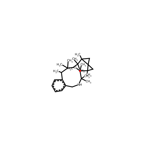 CC1c2ccccc2CNC(C)(C)C(C)(C2(C)CC23CC3(C)C(C)(C)C)OC1(C)C